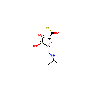 CC(C)NC[C@H]1O[C@H](C(=O)S)[C@H](O)[C@@H]1O